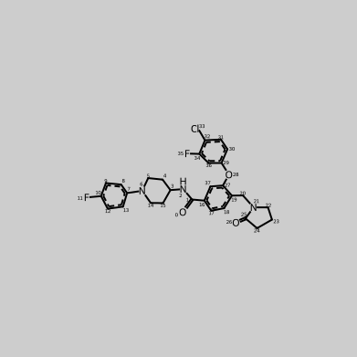 O=C(NC1CCN(c2ccc(F)cc2)CC1)c1ccc(CN2CCCC2=O)c(Oc2ccc(Cl)c(F)c2)c1